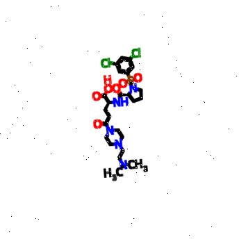 CN(C)CCN1CCN(C(=O)CC[C@H](NC(=O)[C@@H]2CCCN2S(=O)(=O)c2cc(Cl)cc(Cl)c2)C(=O)O)CC1